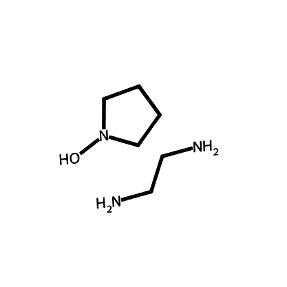 NCCN.ON1CCCC1